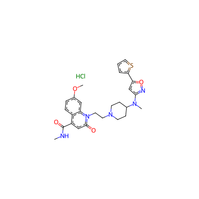 CNC(=O)c1cc(=O)n(CCN2CCC(N(C)c3cc(-c4cccs4)on3)CC2)c2cc(OC)ccc12.Cl